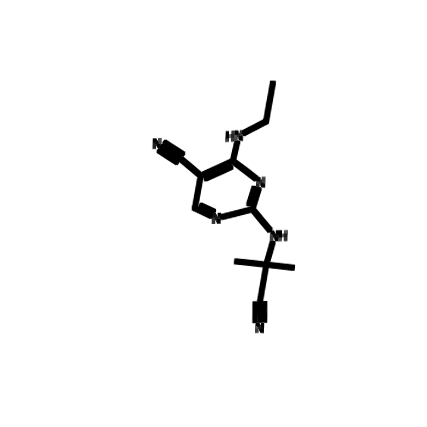 CCNc1nc(NC(C)(C)C#N)ncc1C#N